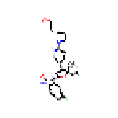 CC1(C)O/C(=C2/C(=O)Nc3ccc(F)cc32)C=C1c1ccc(N2CCCC(CCO)C2)nc1